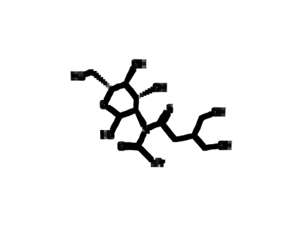 CCCC(=O)N(C(=S)CC(CO)CO)[C@H]1C(O)O[C@H](CO)[C@@H](O)[C@@H]1O